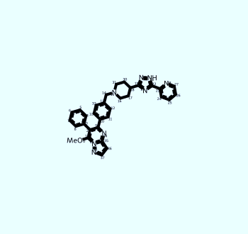 COc1c(-c2ccccc2)c(-c2ccc(CN3CCC(c4n[nH]c(-c5ccccn5)n4)CC3)cc2)nc2ccnn12